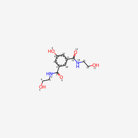 O=C(NCCO)c1cc(O)cc(C(=O)NCCO)c1